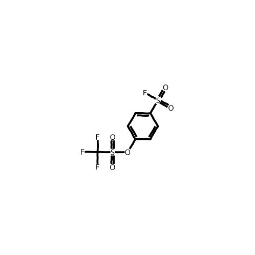 O=S(=O)(F)c1ccc(OS(=O)(=O)C(F)(F)F)cc1